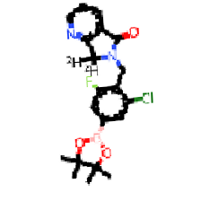 [2H]C1([2H])c2ncccc2C(=O)N1Cc1c(F)cc(B2OC(C)(C)C(C)(C)O2)cc1Cl